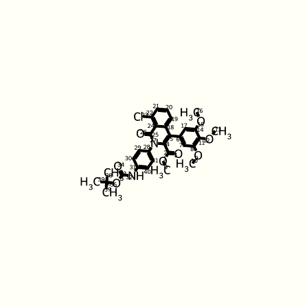 COC(=O)c1c(-c2cc(OC)c(OC)c(OC)c2)c2cccc(Cl)c2c(=O)n1-c1ccc(NC(=O)OC(C)(C)C)cc1